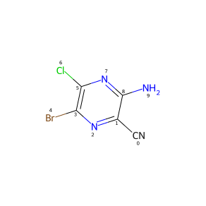 N#Cc1nc(Br)c(Cl)nc1N